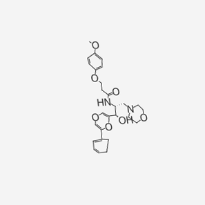 COc1ccc(OCCC(=O)N[C@H](CN2CCOCC2)[C@@H](O)C2=COC=C(C3=CC=CCC3)O2)cc1